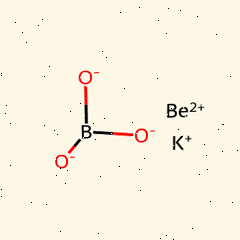 [Be+2].[K+].[O-]B([O-])[O-]